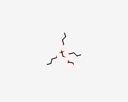 CCCCOC(COC(=O)CO)(OCCCC)OCCCC